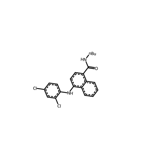 CCCCNC(=O)c1ccc(Nc2ccc(Cl)cc2Cl)c2ccccc12